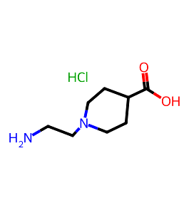 Cl.NCCN1CCC(C(=O)O)CC1